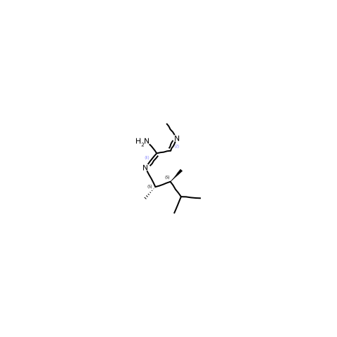 C/N=C\C(N)=N/[C@@H](C)[C@@H](C)C(C)C